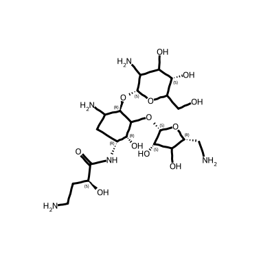 NCC[C@H](O)C(=O)N[C@@H]1CC(N)[C@@H](O[C@H]2OC(CO)[C@@H](O)C(O)C2N)C(O[C@@H]2O[C@H](CN)C(O)[C@@H]2O)[C@@H]1O